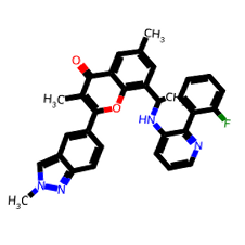 Cc1cc(C(C)Nc2cccnc2-c2ccccc2F)c2oc(-c3ccc4nn(C)cc4c3)c(C)c(=O)c2c1